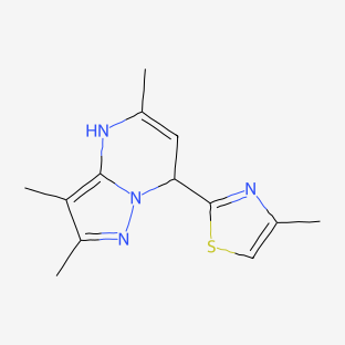 CC1=CC(c2nc(C)cs2)n2nc(C)c(C)c2N1